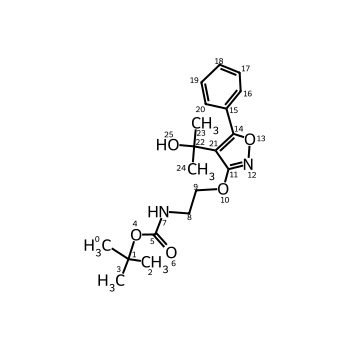 CC(C)(C)OC(=O)NCCOc1noc(-c2ccccc2)c1C(C)(C)O